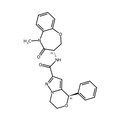 CN1C(=O)[C@@H](NC(=O)c2cc3n(n2)CCO[C@@H]3c2ccccc2)COc2ccccc21